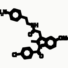 COc1ccc2c(c1)c(CC(=O)NCCc1ccc(N)cc1)c(C)n2C(=O)c1ccc(Cl)cc1